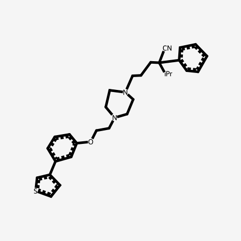 CC(C)C(C#N)(CCCN1CCN(CCOc2cccc(-c3ccsc3)c2)CC1)c1ccccc1